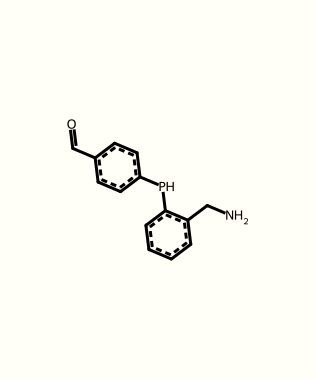 NCc1ccccc1Pc1ccc(C=O)cc1